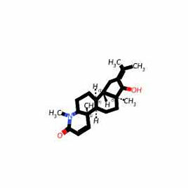 CC(C)=C1C[C@H]2[C@@H]3CCC4N(C)C(=O)C=C[C@]4(C)[C@@H]3CC[C@]2(C)C1O